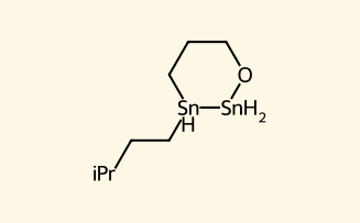 CC(C)C[CH2][SnH]1[CH2]CC[O][SnH2]1